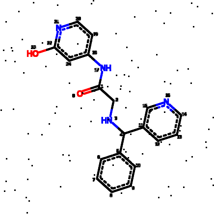 O=C(CNC(c1ccccc1)c1cccnc1)Nc1ccnc(O)c1